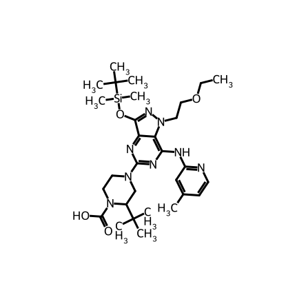 CCOCCn1nc(O[Si](C)(C)C(C)(C)C)c2nc(N3CCN(C(=O)O)C(C(C)(C)C)C3)nc(Nc3cc(C)ccn3)c21